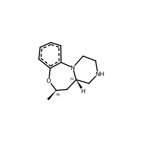 C[C@@H]1C[C@H]2CNCCN2c2ccccc2O1